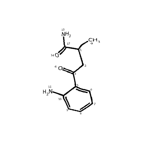 CC(CC(=O)c1ccccc1N)C(N)=O